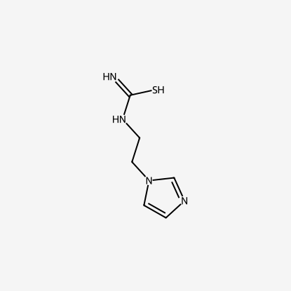 N=C(S)NCCn1ccnc1